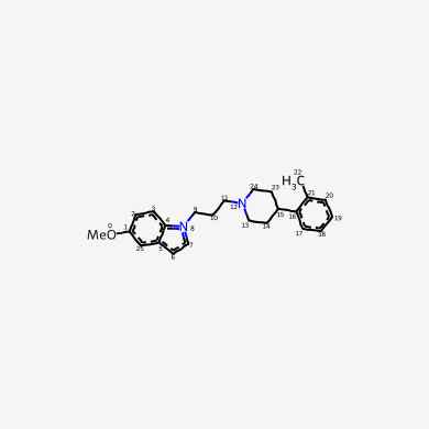 COc1ccc2c(ccn2CCCN2CCC(c3ccccc3C)CC2)c1